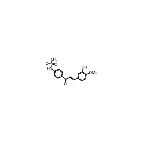 COc1ccc(/C=C/C(=O)c2ccc(NS(C)(=O)=O)cc2)cc1O